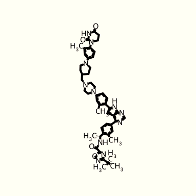 Cc1cc(N2CCN(CC3CCN(c4ccc(N5CCC(=O)NC5=O)c(C)c4)CC3)CC2)ccc1-c1cc2c(-c3ccc([C@@H](C)NC(=O)c4nc(C(C)(C)C)no4)c(C)c3)ncnc2[nH]1